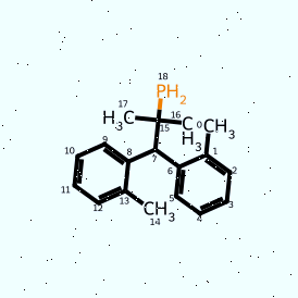 Cc1ccccc1C(c1ccccc1C)C(C)(C)P